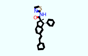 C[C@]1(C(=O)Nc2nccs2)Cc2ccc(C=Cc3ccccc3)cc2[C@H]1c1ccccc1